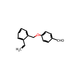 C=Cc1ccccc1COc1ccc(C=O)cc1